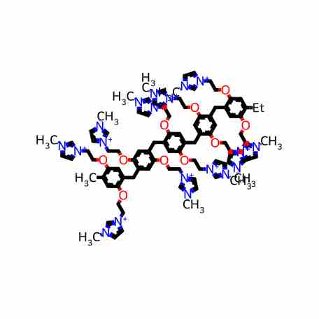 CCc1cc(OCC[n+]2ccn(C)c2)c(Cc2cc(OCC[n+]3ccn(C)c3)c(Cc3cc(OCC[n+]4ccn(C)c4)c(Cc4cc(OCC[n+]5ccn(C)c5)c(Cc5cc(OCC[n+]6ccn(C)c6)c(C)cc5OCC[n+]5ccn(C)c5)cc4OCC[n+]4ccn(C)c4)cc3OCC[n+]3ccn(C)c3)cc2OCC[n+]2ccn(C)c2)cc1OCC[n+]1ccn(C)c1